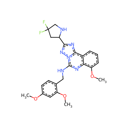 COc1ccc(CNc2nc3c(OC)cccc3c3nc(C4CC(F)(F)CN4)nn23)c(OC)c1